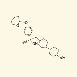 C#CC(O)(CC1CCC(C2CCC(CCC)CC2)CC1)c1ccc(OC2CCCCO2)cc1